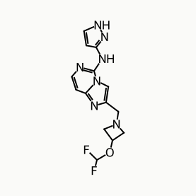 FC(F)OC1CN(Cc2cn3c(Nc4cc[nH]n4)nccc3n2)C1